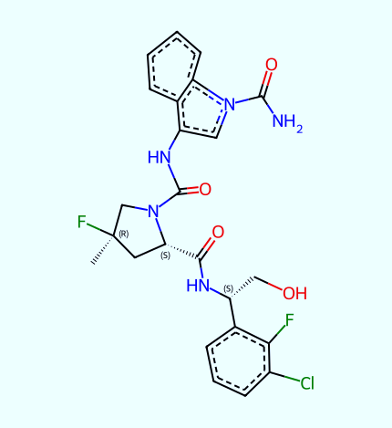 C[C@@]1(F)C[C@@H](C(=O)N[C@H](CO)c2cccc(Cl)c2F)N(C(=O)Nc2cn(C(N)=O)c3ccccc23)C1